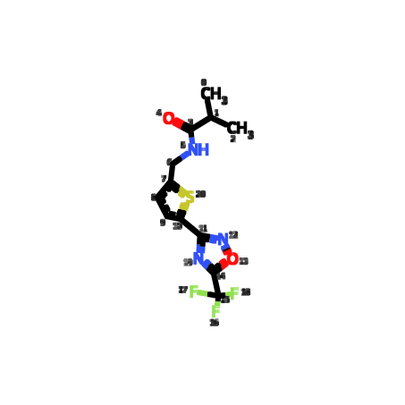 CC(C)C(=O)NCc1ccc(-c2noc(C(F)(F)F)n2)s1